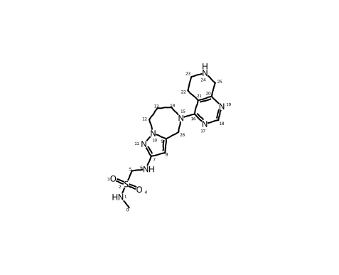 CNS(=O)(=O)CNc1cc2n(n1)CCCN(c1ncnc3c1CCNC3)C2